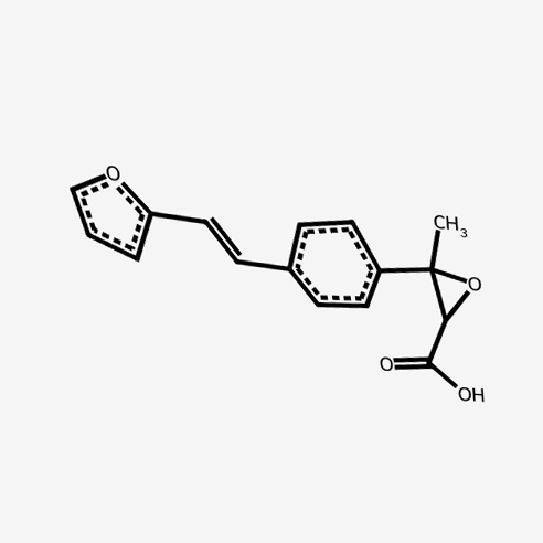 CC1(c2ccc(C=Cc3ccco3)cc2)OC1C(=O)O